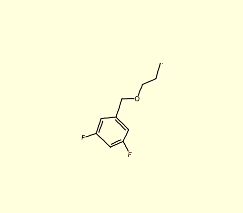 [CH2]CCOCc1cc(F)cc(F)c1